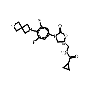 O=C(NC[C@H]1CN(c2cc(F)c(N3CC4(COC4)C3)c(F)c2)C(=O)O1)C1CC1